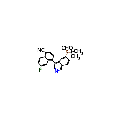 CC(C)(C=O)Sc1ccc2cncc(-c3ccc(C#N)c4ccc(F)cc34)c2c1